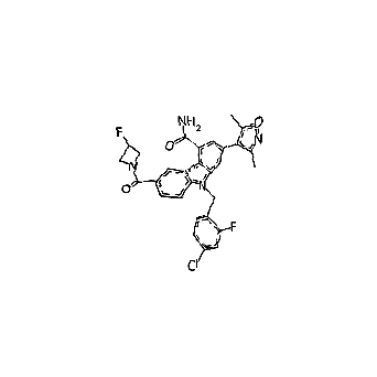 Cc1noc(C)c1-c1cc(C(N)=O)c2c3cc(C(=O)N4CC(F)C4)ccc3n(Cc3ccc(Cl)cc3F)c2c1